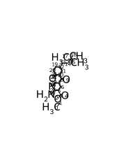 CCOC(=O)c1cc2c(=O)c3cc(CCC(C)(C)C)ccc3oc2nc1N